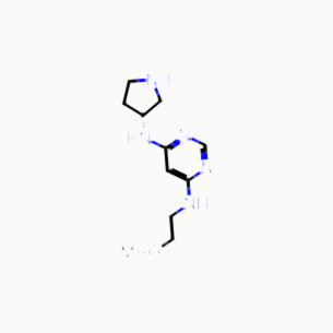 COCCNc1cc(N[C@@H]2CCNC2)ncn1